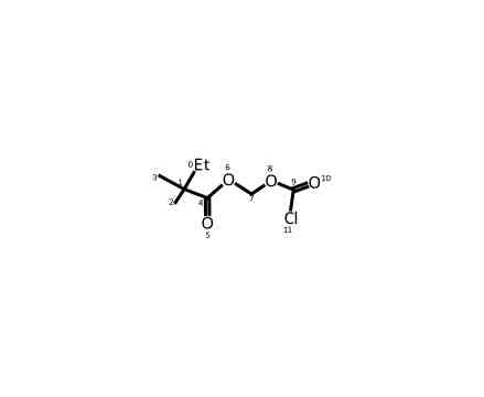 CCC(C)(C)C(=O)OCOC(=O)Cl